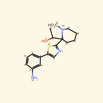 CC(O)C1(c2ncc(-c3cccc(N)c3)s2)CCCCN1C(=O)O